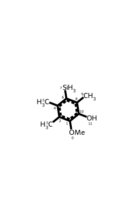 COc1c(C)c(C)c([SiH3])c(C)c1O